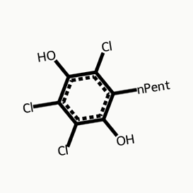 CCCCCc1c(O)c(Cl)c(Cl)c(O)c1Cl